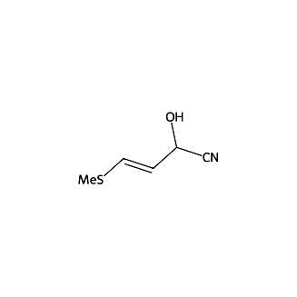 CS/C=C/C(O)C#N